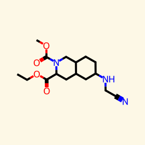 CCOC(=O)C1CC2CC(NCC#N)CCC2CN1C(=O)OC